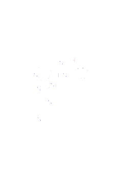 O/N=C(\Nc1ccc(F)c(Cl)c1)c1ccnc2nc(NCCN3CCC3)[nH]c12